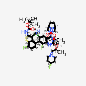 C[C@@H](CN1CCC(F)CC1)Oc1nc(N2CC3CCC(C2)N3C(=O)OC(C)(C)C)c2cc(Cl)c(-c3ccc(F)c4sc(NC(=O)OC(C)(C)C)c(C#N)c34)c(F)c2n1